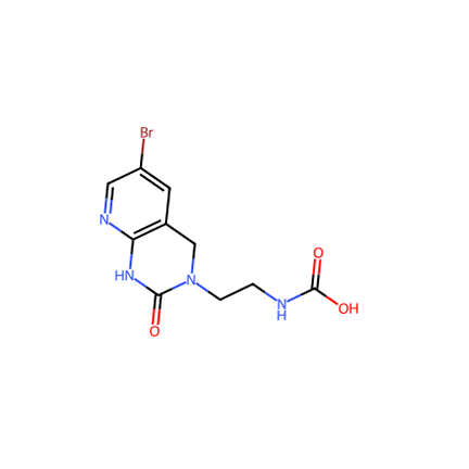 O=C(O)NCCN1Cc2cc(Br)cnc2NC1=O